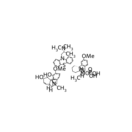 CC(CN1c2ccccc2Sc2ccccc21)N(C)C.COc1ccc2c(c1)[C@]13CCCC[C@@H]1[C@H](C2)N(C)CC3.COc1ccc2c3c1O[C@H]1[C@@H](O)C=C[C@H]4[C@@H](C2)N(C)CC[C@@]341.O=P(O)(O)O